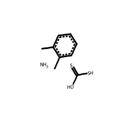 Cc1ccccc1C.N.OC(=S)S